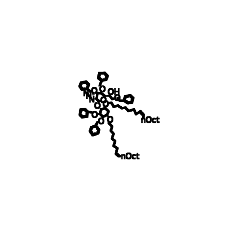 CCCCCCCC/C=C\CCCCCCCCO[C@H]1C[C@@H](OCCCCCCCC/C=C\CCCCCCCC)[C@H](OCc2ccccc2)[C@@H](OCc2ccccc2)[C@@H]1O[C@@H]1O[C@H](C(O)COCc2ccccc2)[C@@H](OCc2ccccc2)[C@H](OCc2ccccc2)[C@H]1N=[N+]=[N-]